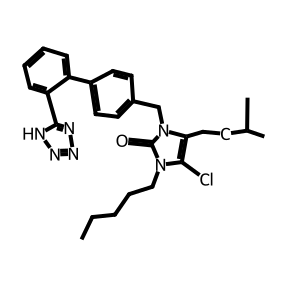 CCCCCn1c(Cl)c(CCC(C)C)n(Cc2ccc(-c3ccccc3-c3nnn[nH]3)cc2)c1=O